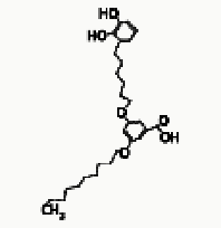 CCCCCCCCCCOc1cc(OCCCCCCc2cccc(O)c2O)cc(C(=O)O)c1